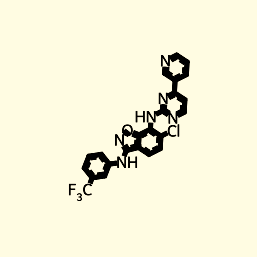 FC(F)(F)c1cccc(Nc2noc3c(Nc4nccc(-c5cccnc5)n4)c(Cl)ccc23)c1